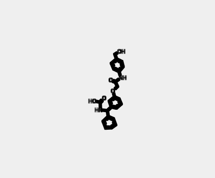 O=C(O)NC(c1ccccc1)c1cccc(OCC(=O)Nc2ccc(CO)cc2)c1